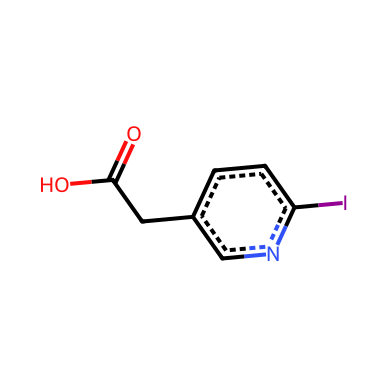 O=C(O)Cc1ccc(I)nc1